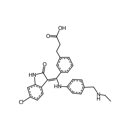 CCNCc1ccc(NC(=C2C(=O)Nc3cc(Cl)ccc32)c2cccc(CCC(=O)O)c2)cc1